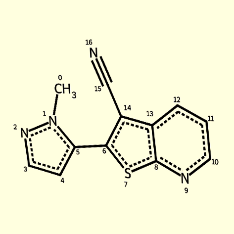 Cn1nccc1-c1sc2ncccc2c1C#N